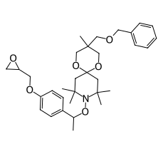 CC(ON1C(C)(C)CC2(CC1(C)C)OCC(C)(COCc1ccccc1)CO2)c1ccc(OCC2CO2)cc1